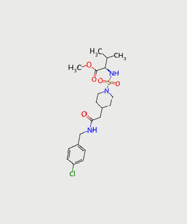 COC(=O)[C@H](NS(=O)(=O)N1CCC(CC(=O)NCc2ccc(Cl)cc2)CC1)C(C)C